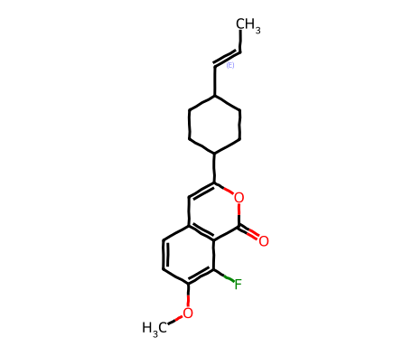 C/C=C/C1CCC(c2cc3ccc(OC)c(F)c3c(=O)o2)CC1